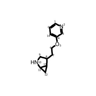 c1cncc(OCCC2CNC3CC23)c1